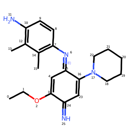 CCOC1=C/C(=N\c2ccc(N)c(C)c2C)C(N2CCCCC2)=CC1=N